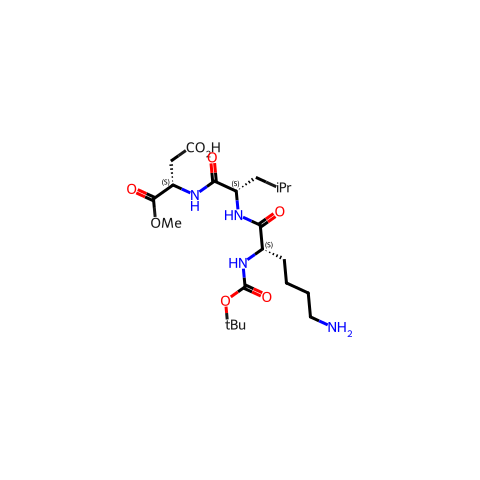 COC(=O)[C@H](CC(=O)O)NC(=O)[C@H](CC(C)C)NC(=O)[C@H](CCCCN)NC(=O)OC(C)(C)C